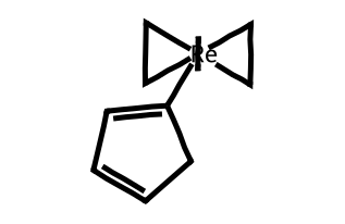 C1=CC[C]([Re]234([CH2][CH2]2)([CH2][CH2]3)[CH2][CH2]4)=C1